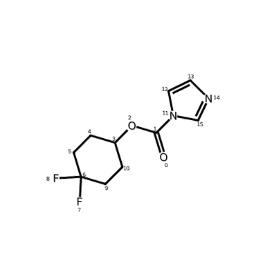 O=C(OC1CCC(F)(F)CC1)n1ccnc1